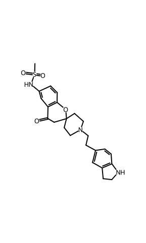 CS(=O)(=O)Nc1ccc2c(c1)C(=O)CC1(CCN(CCc3ccc4c(c3)CCN4)CC1)O2